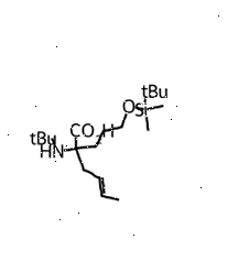 C/C=C/CC(CCCO[Si](C)(C)C(C)(C)C)(NC(C)(C)C)C(=O)O